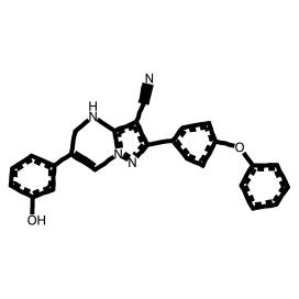 N#Cc1c(-c2ccc(Oc3ccccc3)cc2)nn2c1NCC(c1cccc(O)c1)=C2